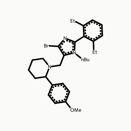 CCCCn1c(-c2c(CC)cccc2CC)nc(Br)c1CN1CCCCC1c1ccc(OC)cc1